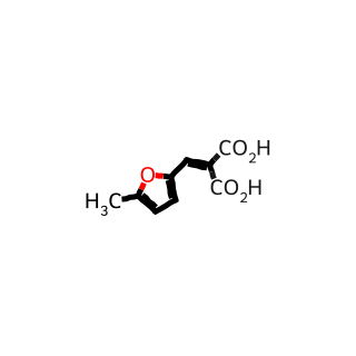 Cc1ccc(C=C(C(=O)O)C(=O)O)o1